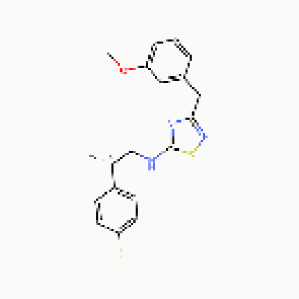 COc1cccc(Cc2nsc(NC[C@@H](C)c3ccc(F)cc3)n2)c1